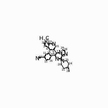 Cn1ccc2cc(-c3c(-c4ccc(C#N)cc4)nc(N4CCC(I)CC4)c4nccn34)cnc21